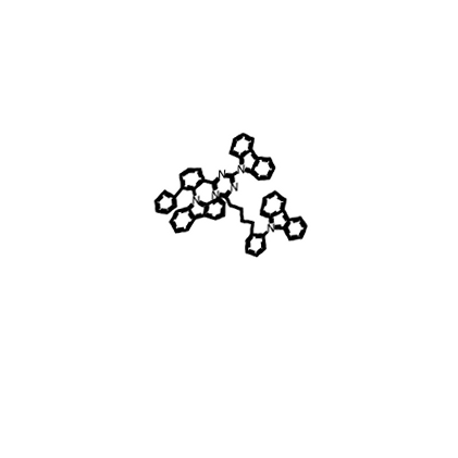 c1ccc(-c2cccc(-c3nc(CCCCc4ccccc4-n4c5ccccc5c5ccccc54)nc(-n4c5ccccc5c5ccccc54)n3)c2-n2c3ccccc3c3ccccc32)cc1